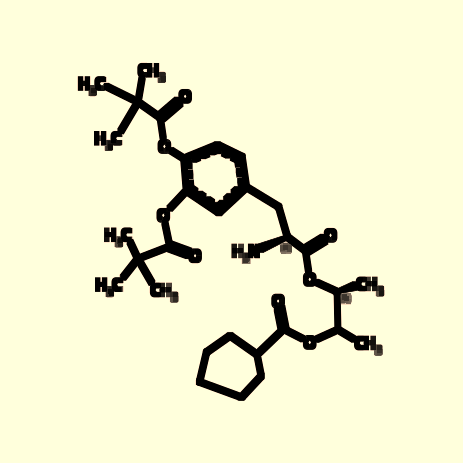 CC(OC(=O)C1CCCCC1)[C@H](C)OC(=O)[C@@H](N)Cc1ccc(OC(=O)C(C)(C)C)c(OC(=O)C(C)(C)C)c1